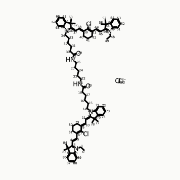 CC[N+]1=C(/C=C/C2=C(Cl)C(=C/C=C3/N(CCCCCC(=O)NCCCCCNC(=O)CCCCCN4/C(=C/C=C5\CCCC(/C=C/C6=[N+](CC)c7ccccc7C6(C)C)=C5Cl)C(C)(C)c5ccccc54)c4ccccc4C3(C)C)/CCC2)C(C)(C)c2ccccc21.[Cl-].[Cl-]